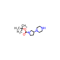 CC(C)(C)OC(=O)N1CC[C@H](N2CCNCC2)C1